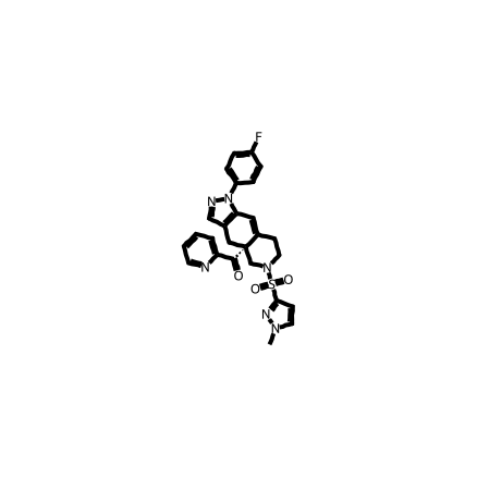 Cn1ccc(S(=O)(=O)N2CCC3=Cc4c(cnn4-c4ccc(F)cc4)C[C@]3(C(=O)c3ccccn3)C2)n1